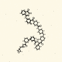 O=C(N[C@@H](C(=O)N1CCN(CC2CCN(CC(=O)N3CCN(C(=O)c4cc(Cc5n[nH]c(=O)c6ccccc56)ccc4F)CC3)CC2)CC1)C1CCCCC1)c1cccc(C2CCCN(C(=O)CNCC3COC3)C2)c1